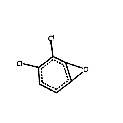 Clc1ccc2c(c1Cl)O2